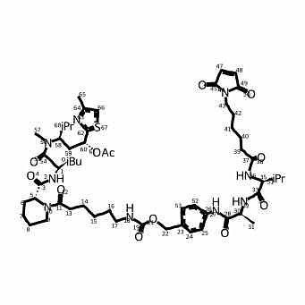 CC[C@H](C)[C@H](NC(=O)[C@H]1CCCCN1C(=O)CCCCCNC(=O)OCc1ccc(NC(=O)[C@H](C)NC(=O)[C@@H](NC(=O)CCCCCN2C(=O)C=CC2=O)C(C)C)cc1)C(=O)N(C)[C@H](C[C@@H](OC(C)=O)c1nc(C)cs1)C(C)C